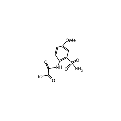 CCC(=O)C(=O)Nc1ccc(OC)cc1S(N)(=O)=O